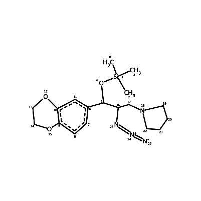 C[Si](C)(C)OC(c1ccc2c(c1)OCCO2)C(CN1CCCC1)N=[N+]=[N-]